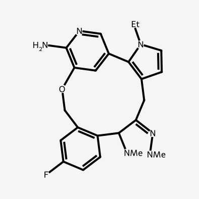 CCn1ccc2c1-c1cnc(N)c(c1)OCc1cc(F)ccc1C(NC)/C(=N\NC)C2